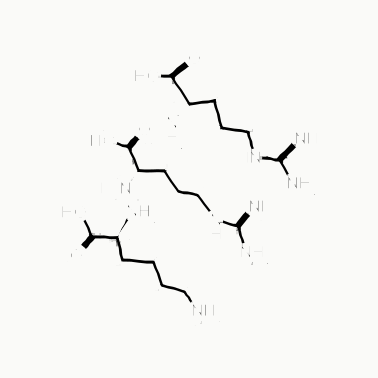 N=C(N)NCCC[C@H](N)C(=O)O.N=C(N)NCCC[C@H](N)C(=O)O.NCCCC[C@H](N)C(=O)O